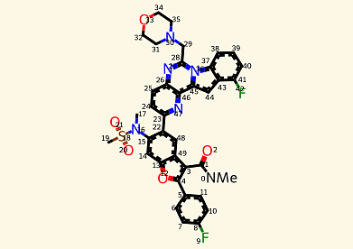 CNC(=O)c1c(-c2ccc(F)cc2)oc2cc(N(C)S(C)(=O)=O)c(-c3ccc4nc(CN5CCOCC5)n5c6cccc(F)c6cc5c4n3)cc12